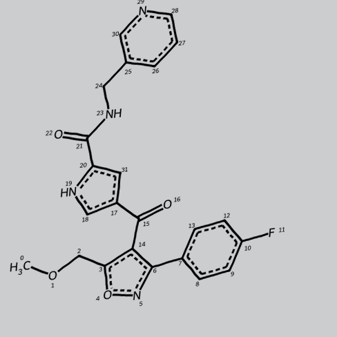 COCc1onc(-c2ccc(F)cc2)c1C(=O)c1c[nH]c(C(=O)NCc2cccnc2)c1